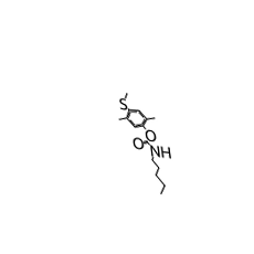 CCCCCNC(=O)Oc1cc(C)c(SC)cc1C